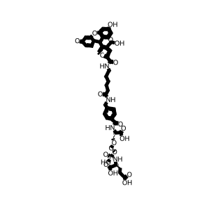 O=C1C=CC2C(=C1)Oc1cc(O)ccc1C2c1ccc(C(=O)NCCCCCC(=O)NCc2ccc(C(=O)N[C@@H](COOOP(=O)(O)N[C@@H](CCC(=O)O)C(=O)O)C(=O)O)cc2)cc1C(=O)O